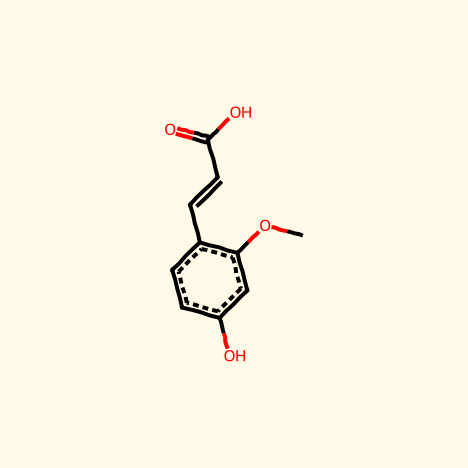 COc1cc(O)ccc1C=CC(=O)O